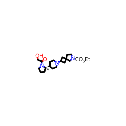 CCOC(=O)N1CCC2(CC(N3CC=C([C@@H]4CCCN4C(=O)CO)CC3)C2)C1